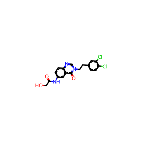 O=C(CO)Nc1ccc2ncn(CCc3ccc(Cl)c(Cl)c3)c(=O)c2c1